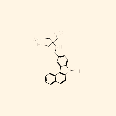 COCC(CO)(COC)NCc1ccc2c(c1)c1c3ccccc3ccc1n2C